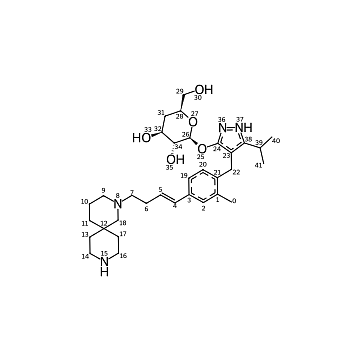 Cc1cc(/C=C/CCN2CCCC3(CCNCC3)C2)ccc1Cc1c(O[C@@H]2O[C@H](CO)C[C@H](O)[C@H]2O)n[nH]c1C(C)C